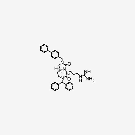 N=C(N)NCCC[C@H]1C(=O)N(C(c2ccccc2)c2ccccc2)CC[C@H]2CN(Cc3ccc(-c4ccccc4)cc3)C(=O)N21